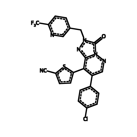 N#Cc1ccc(-c2c(-c3ccc(Cl)cc3)cnn3c(=O)n(Cc4ccc(C(F)(F)F)nc4)nc23)s1